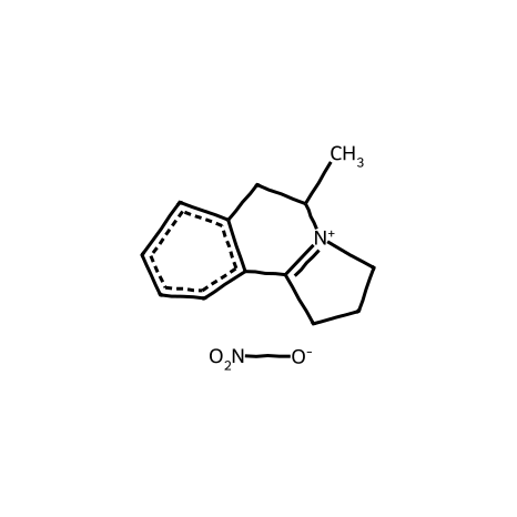 CC1Cc2ccccc2C2=[N+]1CCC2.O=[N+]([O-])[O-]